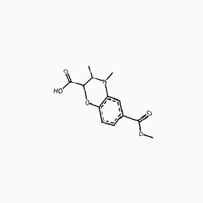 COC(=O)c1ccc2c(c1)N(C)C(C)C(C(=O)O)O2